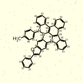 Cc1ccc(N2B3c4cc5oc(-c6ccccc6)cc5cc4-n4c5ccccc5c5c6ccccc6c(c3c54)-c3ccccc32)cc1